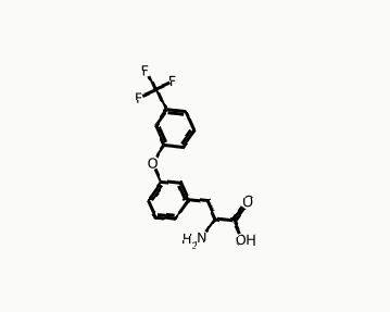 NC(Cc1cccc(Oc2cccc(C(F)(F)F)c2)c1)C(=O)O